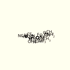 Cc1cc(Nc2nccn3c(-c4cn(CC#N)nc4C(F)(F)F)cnc23)cc(F)c1C(=O)N[C@H](C)CNC(=O)[C@H](C)N.O=CO